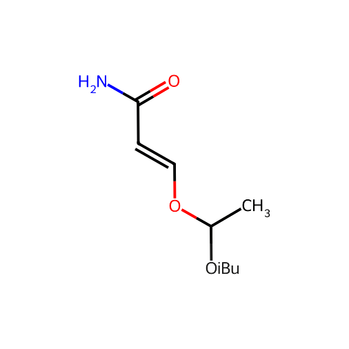 CC(C)COC(C)OC=CC(N)=O